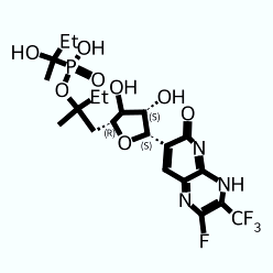 CCC(C)(C[C@H]1O[C@@H](c2cc3nc(F)c(C(F)(F)F)[nH]c-3nc2=O)[C@@H](O)C1O)OP(=O)(O)C(C)(O)CC